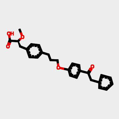 CO[C@@H](Cc1ccc(CCCOc2ccc(C(=O)Cc3ccccc3)cc2)cc1)C(=O)O